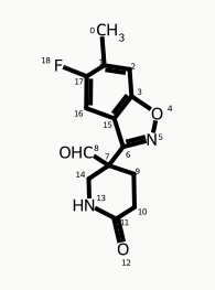 Cc1cc2onc(C3(C=O)CCC(=O)NC3)c2cc1F